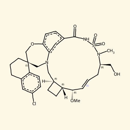 CO[C@H]1/C=C/C[C@H](CO)N(C)S(=O)(=O)NC(=O)c2ccc3c(c2)N(C[C@@H]2CC[C@H]21)C[C@@]1(CCCc2cc(Cl)ccc21)CO3